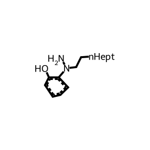 CCCCCCCCCN(N)c1ccccc1O